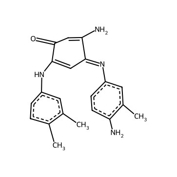 Cc1ccc(NC2=CC(=Nc3ccc(N)c(C)c3)C(N)=CC2=O)cc1C